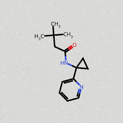 CC(C)(C)CC(=O)NC1(c2ccccn2)CC1